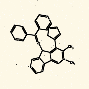 Cc1cc2c(c(C3=CC=CC3)c1C)[CH]([Zr]=[C](c1ccccc1)c1ccccc1)c1ccccc1-2